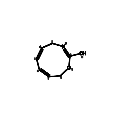 O/C1=N/C/C=C\C=C/CO1